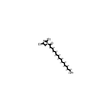 CCC1=NC(CC)CN1C(=O)CCCCCCCCCCCCCCC(C)C